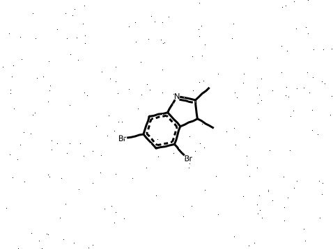 CC1=Nc2cc(Br)cc(Br)c2C1C